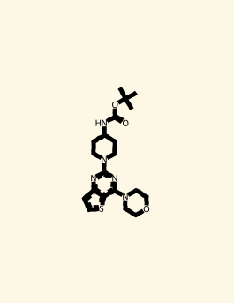 CC(C)(C)OC(=O)NC1CCN(c2nc(N3CCOCC3)c3sccc3n2)CC1